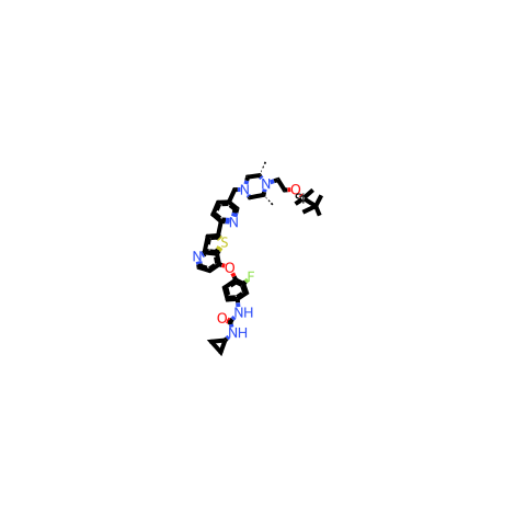 C[C@@H]1CN(Cc2ccc(-c3cc4nccc(Oc5ccc(NC(=O)NC6CC6)cc5F)c4s3)nc2)C[C@H](C)N1CCO[Si](C)(C)C(C)(C)C